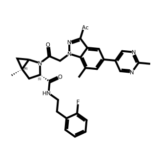 CC(=O)c1nn(CC(=O)N2C3C[C@]3(C)C[C@H]2C(=O)NCCc2ccccc2F)c2c(C)cc(-c3cnc(C)nc3)cc12